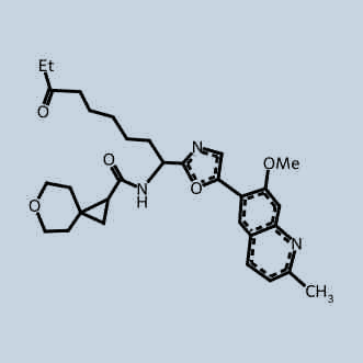 CCC(=O)CCCCCC(NC(=O)C1CC12CCOCC2)c1ncc(-c2cc3ccc(C)nc3cc2OC)o1